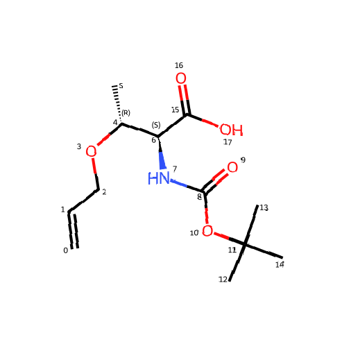 C=CCO[C@H](C)[C@H](NC(=O)OC(C)(C)C)C(=O)O